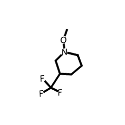 CON1CCCC(C(F)(F)F)C1